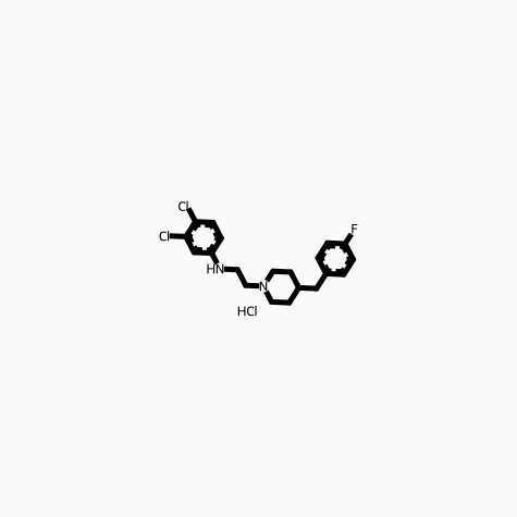 Cl.Fc1ccc(CC2CCN(CCNc3ccc(Cl)c(Cl)c3)CC2)cc1